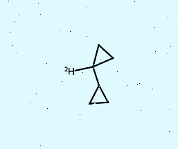 [2H]C1(C2CC2)CC1